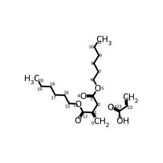 C=C(CC(=O)OCCCCCC)C(=O)OCCCCCC.C=CC(=O)O